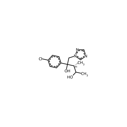 CC(O)[C@@H](C)C(O)(Cn1cncn1)c1ccc(Cl)cc1